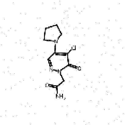 NC(=O)Cn1ncc(N2C[CH]CC2)c(Cl)c1=O